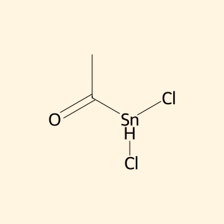 C[C](=O)[SnH]([Cl])[Cl]